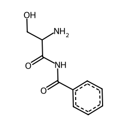 NC(CO)C(=O)NC(=O)c1ccccc1